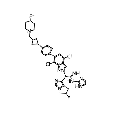 CCC1CCN(CC2CC(c3ccc(-c4cc(Cl)c5cn(C(C(=N)Nc6ncc[nH]6)c6ncn7c6C[C@@H](F)C7)nc5c4Cl)cc3)C2)CC1